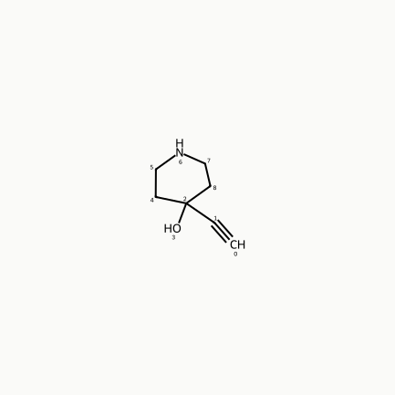 C#CC1(O)CCNCC1